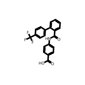 O=C(O)c1ccc(NC(=O)c2ccccc2-c2ccc(C(F)(F)F)cc2)cc1